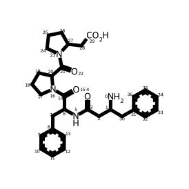 NC(CC(=O)NC(Cc1ccccc1)C(=O)N1CCCC1C(=O)N1CCCC1CC(=O)O)Cc1ccccc1